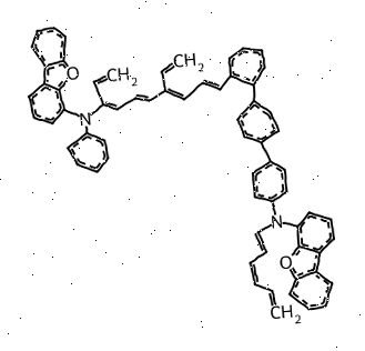 C=C/C=C\C=C\N(c1ccc(-c2ccc(-c3ccccc3/C=C/C=C(C=C)/C=C/C=C(\C=C)N(c3ccccc3)c3cccc4c3oc3ccccc34)cc2)cc1)c1cccc2c1oc1ccccc12